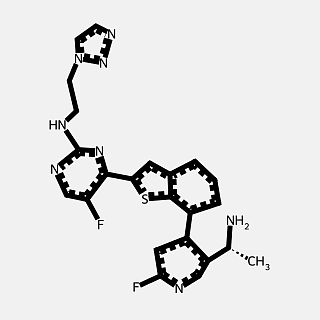 C[C@@H](N)c1cnc(F)cc1-c1cccc2cc(-c3nc(NCCn4ccnn4)ncc3F)sc12